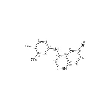 Fc1ccc(Nc2ccnc3ccc(Br)cc23)cc1Cl